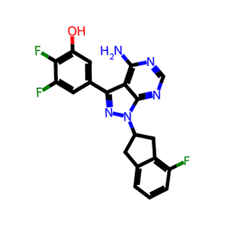 Nc1ncnc2c1c(-c1cc(O)c(F)c(F)c1)nn2C1Cc2cccc(F)c2C1